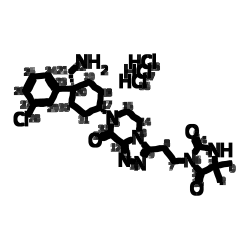 CC1(C)NC(=O)N(CCc2nnc3n2CCN([C@H]2CC[C@](CN)(c4cccc(Cl)c4)CC2)C3=O)C1=O.Cl.Cl.Cl